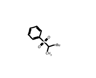 CCCCC(C)S(=O)(=O)c1ccccc1